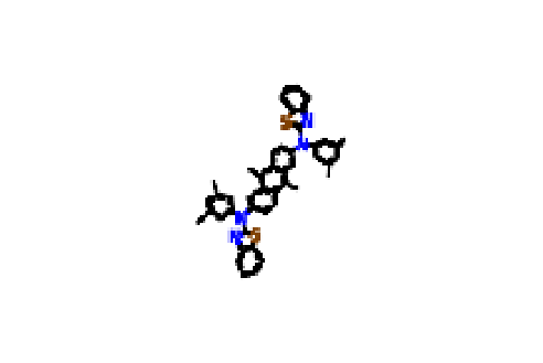 Cc1cc(C)cc(N(c2ccc3c(C)c4cc(N(c5cc(C)cc(C)c5)c5nc6ccccc6s5)ccc4c(C)c3c2)c2nc3ccccc3s2)c1